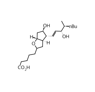 CCCC[C@H](C)[C@H](O)/C=C/[C@@H]1[C@H]2CC(CCCCC(=O)O)O[C@@H]2C[C@H]1O